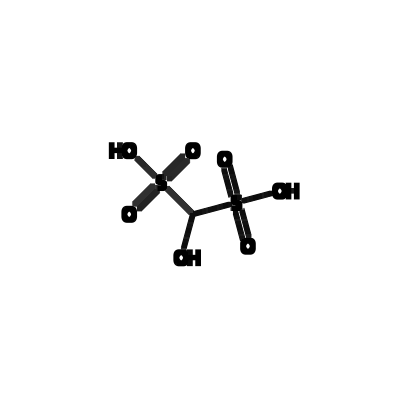 O=S(=O)(O)C(O)S(=O)(=O)O